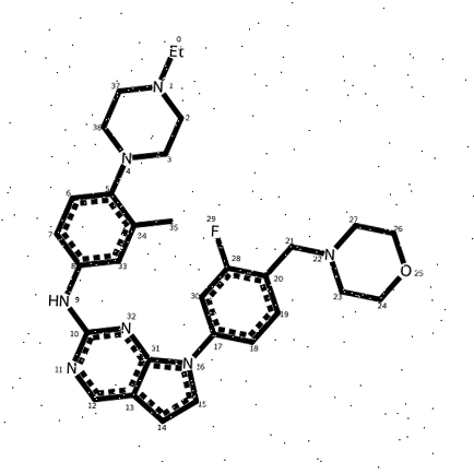 CCN1CCN(c2ccc(Nc3ncc4ccn(-c5ccc(CN6CCOCC6)c(F)c5)c4n3)cc2C)CC1